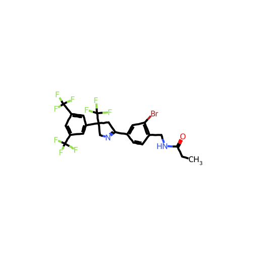 CCC(=O)NCc1ccc(C2=NCC(c3cc(C(F)(F)F)cc(C(F)(F)F)c3)(C(F)(F)F)C2)cc1Br